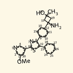 COc1cncc(-c2nc(-c3ccc(C4(N)CC(C)(O)C4)cc3)c(-c3ccccc3)s2)c1